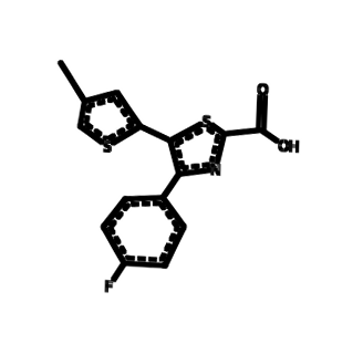 Cc1csc(-c2sc(C(=O)O)nc2-c2ccc(F)cc2)c1